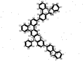 c1ccc(N2c3ccc(-c4ccc5c(c4)sc4ccccc45)cc3Sc3cc4c5cc(-c6ccc7c(c6)c6ccccc6n6c8ccccc8nc76)ccc5c5ccccc5c4cc32)cc1